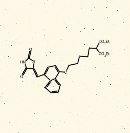 CCOC(=O)C(CCCCCOc1ccc(/C=C2\SC(=O)NC2=O)c2ccccc12)C(=O)OCC